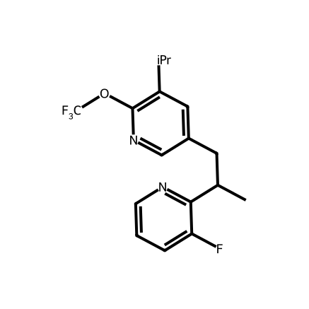 CC(C)c1cc(CC(C)c2ncccc2F)cnc1OC(F)(F)F